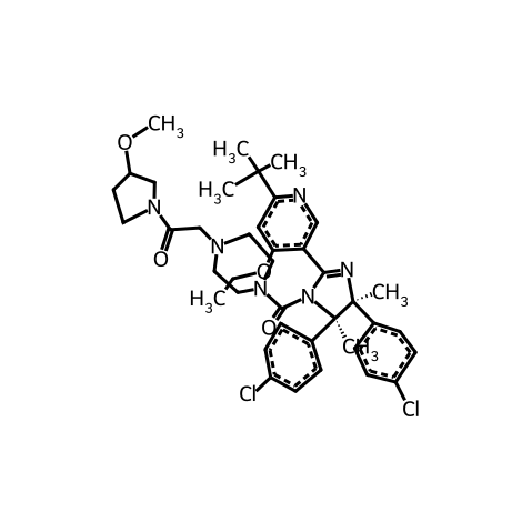 CCOc1cc(C(C)(C)C)ncc1C1=N[C@@](C)(c2ccc(Cl)cc2)[C@@](C)(c2ccc(Cl)cc2)N1C(=O)N1CCN(CC(=O)N2CCC(OC)C2)CC1